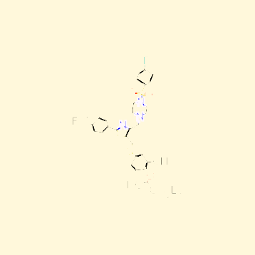 CCOC(=O)C(C)Oc1ccc(SCc2sc(-c3ccc(C(F)(F)F)cc3)nc2CN2CCN(S(=O)(=O)c3ccc(F)cc3)CC2)cc1C